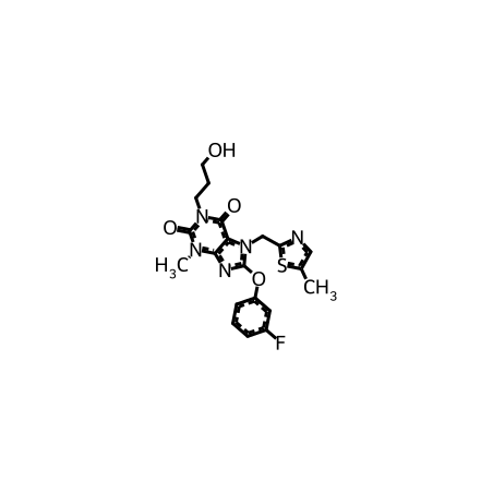 Cc1cnc(Cn2c(Oc3cccc(F)c3)nc3c2c(=O)n(CCCO)c(=O)n3C)s1